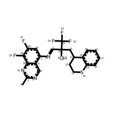 Cc1ncc2c(N=CC(O)(CC3CCSc4ccccc43)C(F)(F)F)cc(F)c(F)c2n1